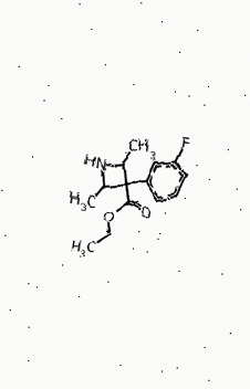 CCOC(=O)C1(c2cccc(F)c2)C(C)NC1C